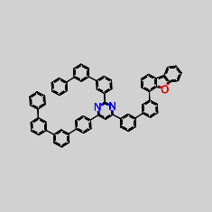 c1ccc(-c2cccc(-c3cccc(-c4ccc(-c5cc(-c6cccc(-c7cccc(-c8cccc9c8oc8ccccc89)c7)c6)nc(-c6cccc(-c7cccc(-c8ccccc8)c7)c6)n5)cc4)c3)c2)cc1